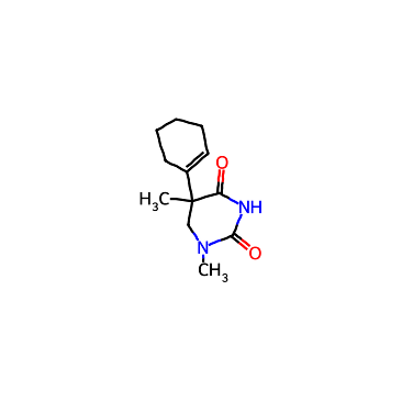 CN1CC(C)(C2=CCCCC2)C(=O)NC1=O